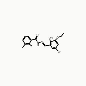 CCOc1cc(Br)cc(C=NNC(=O)c2cccc(C)c2C)c1O